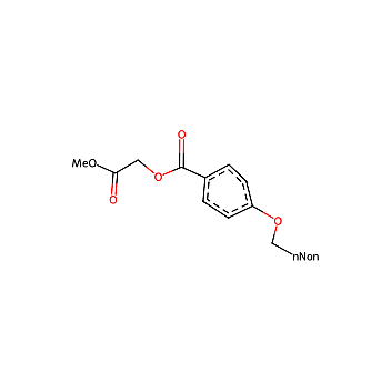 CCCCCCCCCCOc1ccc(C(=O)OCC(=O)OC)cc1